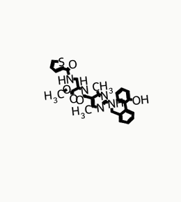 COC(=O)C(CNC(=O)c1cccs1)NC(=O)c1c(C)nc(NCc2ccccc2-c2ccccc2O)nc1C